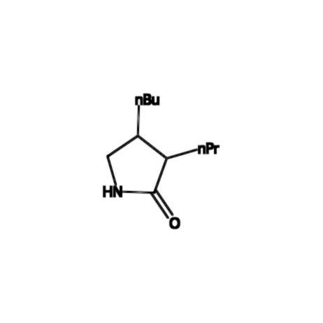 CCCCC1CNC(=O)C1CCC